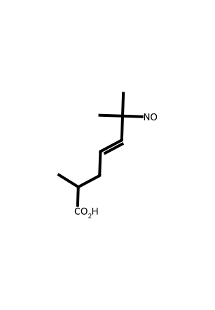 CC(C/C=C/C(C)(C)N=O)C(=O)O